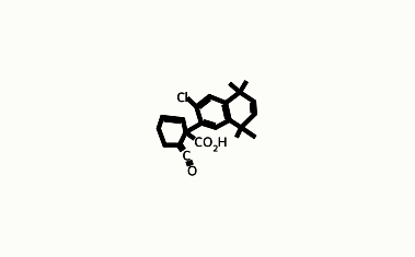 CC1(C)C=CC(C)(C)c2cc(C3(C(=O)O)C=CCCC3=C=O)c(Cl)cc21